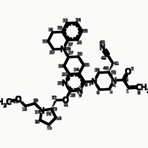 C=CC(=O)N1CCN(c2nc(OC[C@@H]3CCCN3CCOC)nc3c2CCC(N2CCCc4ccccc42)C3)C[C@@H]1CC#N